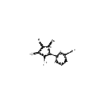 O=c1c(O)c(-c2cccc(F)c2)c(=O)c1=O